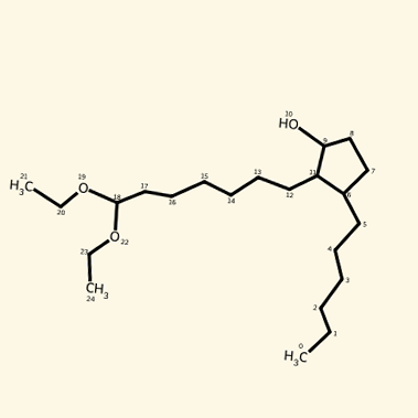 CCCCCCC1CCC(O)C1CCCCCCC(OCC)OCC